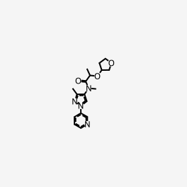 Cc1nn(-c2cccnc2)cc1N(C)C(=O)C(C)OC1CCOC1